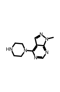 Cn1ncc2c(N3CCNCC3)ncnc21